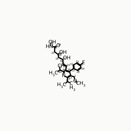 COCc1c(C(C)C)nc(C(C)C)c(/C=C/C(O)CC(O)CC(=O)NO)c1-c1ccc(F)cc1